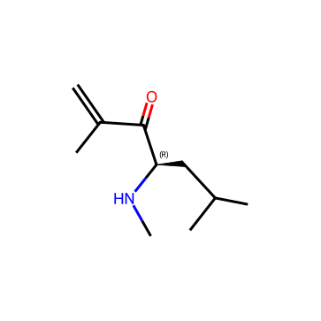 C=C(C)C(=O)[C@@H](CC(C)C)NC